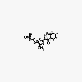 Cc1nc(NC(=O)c2ccccc2F)sc1CCO[N+](=O)[O-]